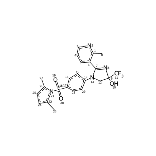 Cc1ncccc1C1=NC(O)(C(F)(F)F)CN1c1ccc(S(=O)(=O)n2c(C)ccc2C)cc1